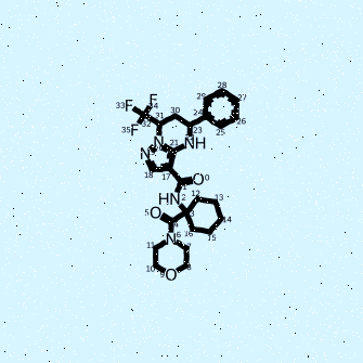 O=C(NC1(C(=O)N2CCOCC2)CCCCC1)c1cnn2c1NC(c1ccccc1)CC2C(F)(F)F